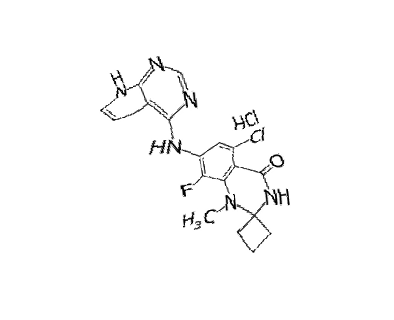 CN1c2c(F)c(Nc3ncnc4[nH]ccc34)cc(Cl)c2C(=O)NC12CCC2.Cl